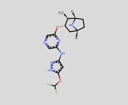 C[C@H]1[C@@H]2CC[C@H](C[C@@H]1Oc1cncc(Nc3cc(OC(F)F)[nH]n3)n1)N2